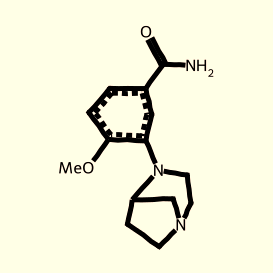 COc1ccc(C(N)=O)cc1N1CCN2CCC1C2